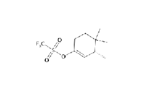 C[C@@H]1C=C(OS(=O)(=O)C(F)(F)F)CCC1(C)C